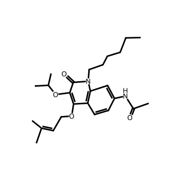 CCCCCCn1c(=O)c(OC(C)C)c(OCC=C(C)C)c2ccc(NC(C)=O)cc21